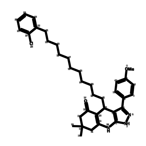 COc1ccc(-c2n[nH]c3c2C(CCCCCCCCCCCc2ccccc2Cl)C2=C(CC(C)(C)CC2=O)N3)cc1